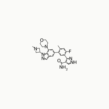 Cc1cc(F)c(-c2n[nH]cc2C(N)=O)cc1-c1cc(N2CCOCC2)c2c(cnn2C2CN(C)C2)c1